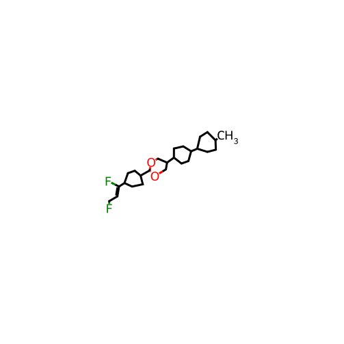 CC1CCC(C2CCC(C3COC(C4CCC(/C(F)=C/CF)CC4)OC3)CC2)CC1